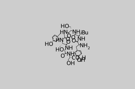 CC[C@H](C)[C@H](NC(=O)[C@@H](N)Cc1ccc(O)cc1)C(=O)N[C@@H](CO)C(=O)N[C@@H](Cc1ccc(O)cc1)C(=O)N[C@@H](CO)C(=O)NCC(=O)N[C@@H](CO)C(=O)O